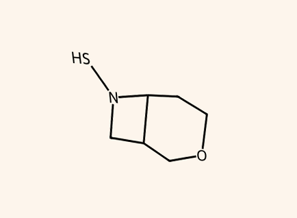 SN1CC2COCCC21